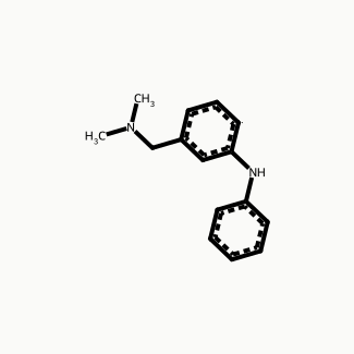 CN(C)Cc1cc[c]c(Nc2ccccc2)c1